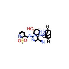 CS(=O)(=O)c1ncccc1CNc1ncc(C#N)c(NC[C@]23CC4C[C@H](C2)[C@@H](NC[C@H]2CC[C@H](O)CC2)[C@@H](C4)C3)n1